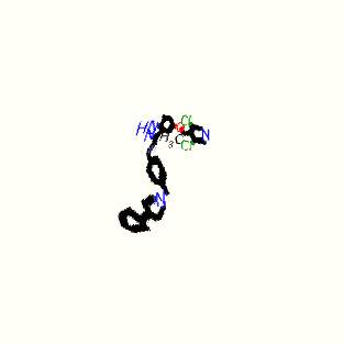 CC(Oc1ccc2[nH]nc(/C=C/c3ccc(CN4CCC(c5ccccc5)CC4)cc3)c2c1)C1C(Cl)=CN=CC1Cl